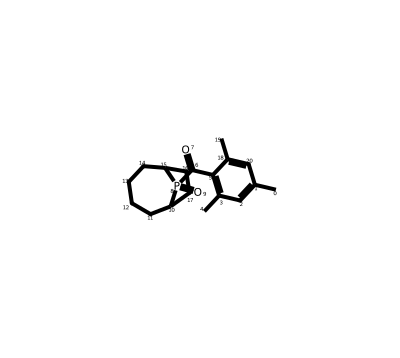 Cc1cc(C)c(C(=O)P2(=O)C3CCCCC2CC3)c(C)c1